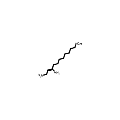 CCCCCCCCCCCCCCCCC(N)=CCN